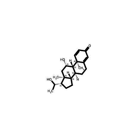 CC(O)[C@H]1CC[C@H]2[C@@H]3CCC4=CC(=O)C=C[C@]4(C)[C@H]3[C@@H](O)C[C@]12C